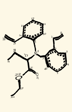 C=Cc1ccccc1N(c1ccccc1C=C)C(CC)C(=O)OCC